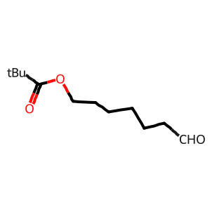 CC(C)(C)C(=O)OCCCCCCC=O